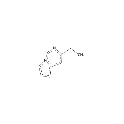 [CH2]Cc1cc2cccn2cn1